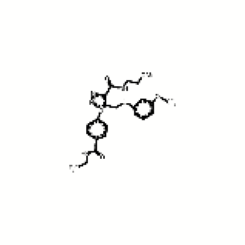 COCCNC(=O)c1nnn(-c2ccc(C(=O)NCC(F)(F)F)cc2)c1COc1cccc(OC(F)(F)F)c1